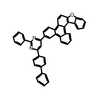 c1ccc(-c2ccc(-c3cc(-c4ccc5c(c4)c4ccccc4c4c5ccc5oc6ccccc6c54)nc(-c4ccccc4)n3)cc2)cc1